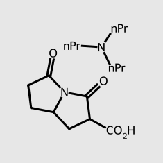 CCCN(CCC)CCC.O=C(O)C1CC2CCC(=O)N2C1=O